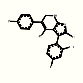 OC1=C(c2ccc(F)cc2)CNc2sc(Cl)c(-c3ccc(F)cc3O)c21